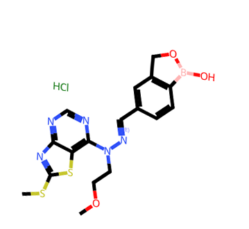 COCCN(/N=C/c1ccc2c(c1)COB2O)c1ncnc2nc(SC)sc12.Cl